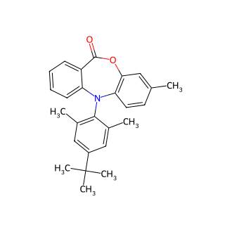 Cc1ccc2c(c1)OC(=O)c1ccccc1N2c1c(C)cc(C(C)(C)C)cc1C